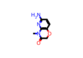 CN1C(=O)COc2ccc(N)nc21